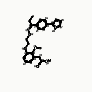 CCC(=NOCCOc1cccc(CC(=O)O)c1OC)c1ccc(-c2cccs2)cc1